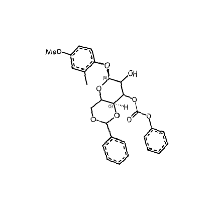 COc1ccc(O[C@@H]2OC3COC(c4ccccc4)O[C@@H]3C(OC(=O)Oc3ccccc3)C2O)c(C)c1